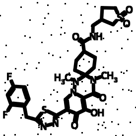 CN1C(=O)c2c(O)c(=O)c(-c3nnc(Cc4ccc(F)cc4F)s3)cn2N(C)C12CCC(C(=O)NCC1CCS(=O)(=O)C1)CC2